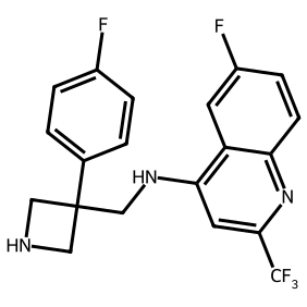 Fc1ccc(C2(CNc3cc(C(F)(F)F)nc4ccc(F)cc34)CNC2)cc1